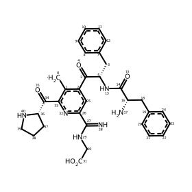 [CH2]c1c(C(=O)[C@H](Cc2ccccc2)NC(=O)[C@@H](N)Cc2ccccc2)cc(C(=N)NCC(=O)O)nc1C(=O)[C@@H]1CCCN1